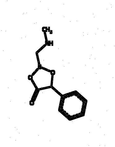 CNCB1OC(=O)C(c2ccccc2)O1